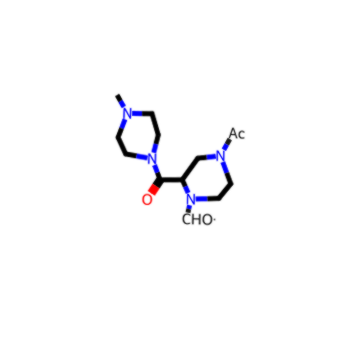 CC(=O)N1CCN([C]=O)C(C(=O)N2CCN(C)CC2)C1